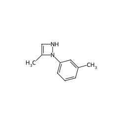 Cc1cccc(-n2[nH]cc2C)c1